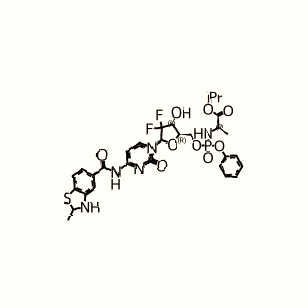 CC(C)OC(=O)[C@@H](C)NP(=O)(OC[C@H]1OC(n2ccc(NC(=O)c3ccc4c(c3)NC(C)S4)nc2=O)C(F)(F)[C@@H]1O)Oc1ccccc1